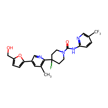 Cc1cc(-c2ccc(CO)o2)cnc1C1(F)CCN(C(=O)Nc2ccc(C(F)(F)F)cn2)CC1